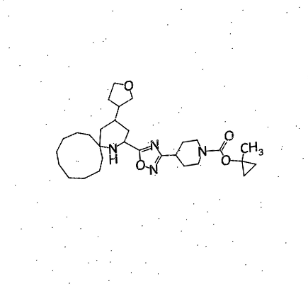 CC1(OC(=O)N2CCC(c3noc(C4CC(C5CCOC5)CC5(CCCCCCCCC5)N4)n3)CC2)CC1